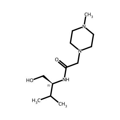 CC(C)[C@@H](CO)NC(=O)CN1CCN(C)CC1